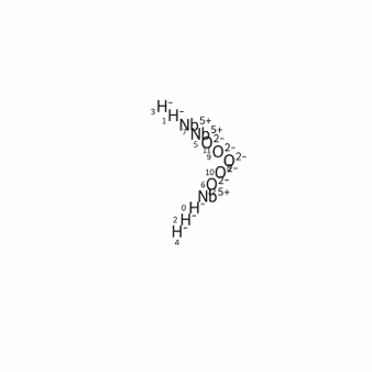 [H-].[H-].[H-].[H-].[H-].[Nb+5].[Nb+5].[Nb+5].[O-2].[O-2].[O-2].[O-2].[O-2]